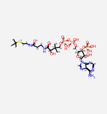 CC(C)(C)SCCNC(=O)CCNC(=O)[C@H](O)C(C)(C)COP(=O)(O)OP(=O)(O)OC[C@H]1O[C@@H](n2cnc3c(N)ncnc32)[C@H](O)[C@@H]1OP(=O)(O)O